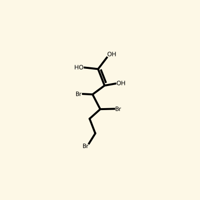 OC(O)=C(O)C(Br)C(Br)CCBr